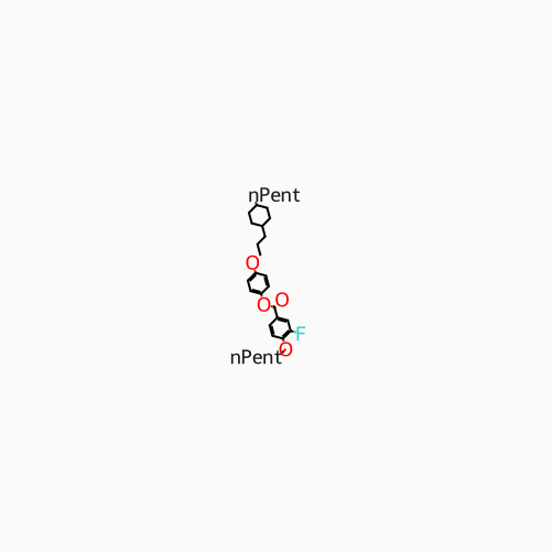 CCCCCOc1ccc(C(=O)Oc2ccc(OCCCC3CCC(CCCCC)CC3)cc2)cc1F